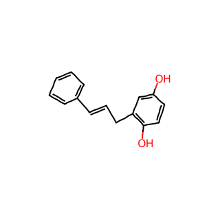 Oc1ccc(O)c(CC=Cc2ccccc2)c1